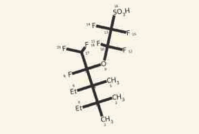 CCC(C)(C)C(C)(CC)C(F)(OC(F)(F)C(F)(F)S(=O)(=O)O)C(F)F